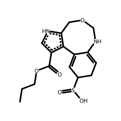 CCCOC(=O)c1c[nH]c2c1C1=CC(S(=O)O)CC=C1NCOC2